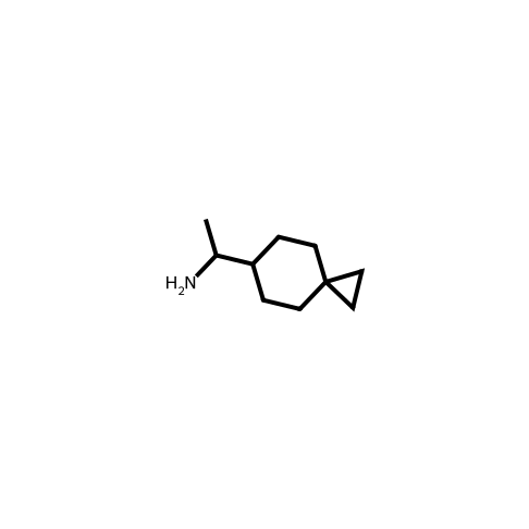 CC(N)C1CCC2(CC1)CC2